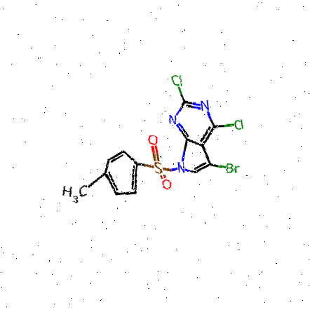 Cc1ccc(S(=O)(=O)n2cc(Br)c3c(Cl)nc(Cl)nc32)cc1